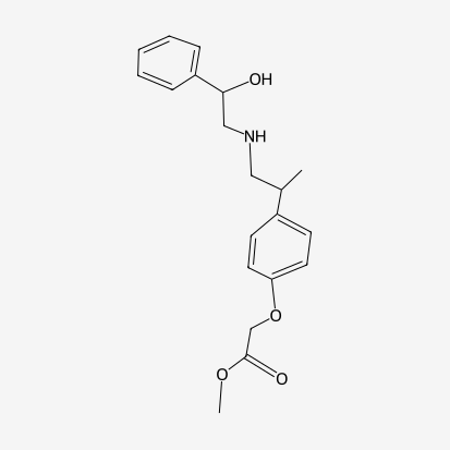 COC(=O)COc1ccc(C(C)CNCC(O)c2ccccc2)cc1